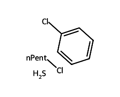 CCCCCCl.Clc1ccccc1.S